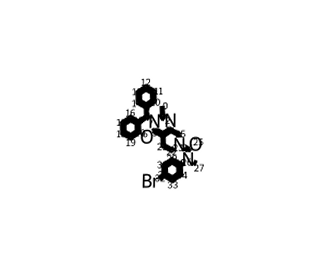 Cc1nc2c(c(=O)n1C(c1ccccc1)c1ccccc1)CCN(C(=O)N(C)c1ccc(Br)cc1)C2